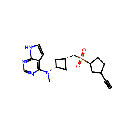 C#CC1CCC(S(=O)(=O)C[C@H]2C[C@@H](N(C)c3ncnc4[nH]ccc34)C2)C1